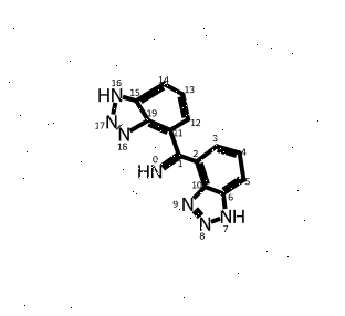 N=C(c1cccc2[nH]nnc12)c1cccc2[nH]nnc12